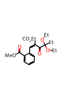 CCOC(=O)C(=Cc1ccccc1C(=O)OC)C(=O)C(CC)(OCC)OCC